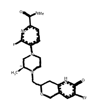 CCc1cc2c([nH]c1=O)CC(CN1CCN(c3ccc(C(=O)NC)nc3F)C[C@@H]1C)OC2